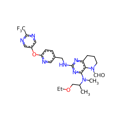 CCOCC(C)N(C)c1nc(NCc2ccc(Oc3cnc(C(F)(F)F)nc3)nc2)nc2c1N(C=O)CCC2